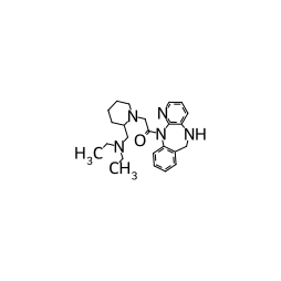 CCN(CC)CC1CCCCN1CC(=O)N1c2ccccc2CNc2cccnc21